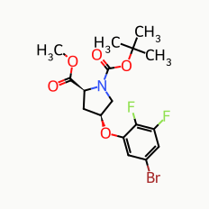 COC(=O)[C@@H]1C[C@H](Oc2cc(Br)cc(F)c2F)CN1C(=O)OC(C)(C)C